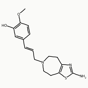 COc1ccc(C=CCN2CCc3nc(N)sc3CC2)cc1O